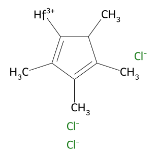 CC1=C(C)C(C)[C]([Hf+3])=C1C.[Cl-].[Cl-].[Cl-]